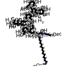 CCCCCCCC/C=C\CCCCCCCCCCCCCC(=O)N[C@@H](CO[C@@H]1OC(CO)[C@@H](O[C@@H]2OC(CO)[C@H](O)[C@H](O[C@@H]3OC(CO)[C@@H](O[C@@H]4OC(CO)[C@H](O)[C@H](O[C@@H]5OC(CO)[C@@H](O[C@H]6OC(C)[C@@H](O)C(O)[C@@H]6O)[C@H](O[C@@H]6OC(CO)[C@H](O)[C@H](O)C6O)C5NC(C)=O)C4O)[C@H](O[C@H]4OC(C)[C@@H](O)C(O)[C@@H]4O)C3NC(C)=O)C2O)[C@H](O)C1O)[C@H](O)/C=C/CCCCCCCCCCCCC